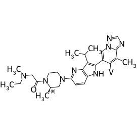 CCN(C)CC(=O)N1CCN(c2ccc3[nH]c(-c4cn5ncnc5c(C)[c]4[V])c(C(C)C)c3n2)C[C@H]1C